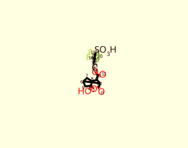 O=C1OC2(O)CC3CC2C(C(=O)OCCC(F)(F)C(F)(F)S(=O)(=O)O)C13